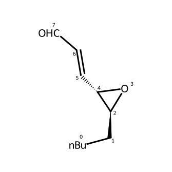 CCCCC[C@@H]1O[C@H]1/C=C/C=O